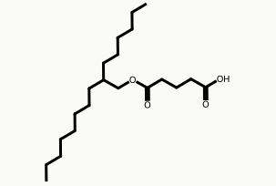 CCCCCCCCC(CCCCCC)COC(=O)CCCC(=O)O